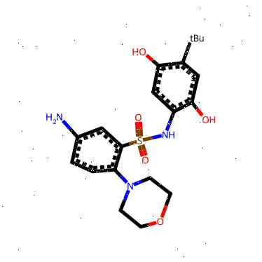 CC(C)(C)c1cc(O)c(NS(=O)(=O)c2cc(N)ccc2N2CCOCC2)cc1O